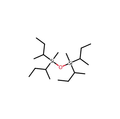 CCC(C)[Si](C)(O[Si](C)(C(C)CC)C(C)CC)C(C)CC